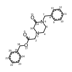 O=C(CN1CCN(Cc2ccccc2)C(=O)C1)OCc1ccccc1